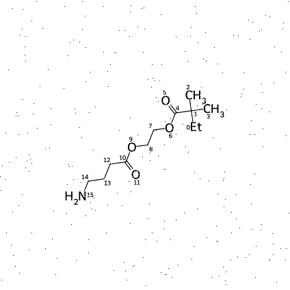 CCC(C)(C)C(=O)OCCOC(=O)CCCN